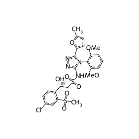 COc1cccc(OC)c1-n1c(NS(=O)(=O)C[C@@H](O)c2ccc(Cl)cc2S(C)(=O)=O)nnc1-c1ccc(C)o1